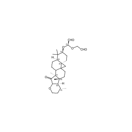 C[C@@H]1CCOC2C(=O)[C@@]3(C)C4CC[C@H]5C(C)(C)[C@@H](O[C@@H](C=O)OCC=O)CC[C@@]56CC46CC[C@]3(C)[C@H]21